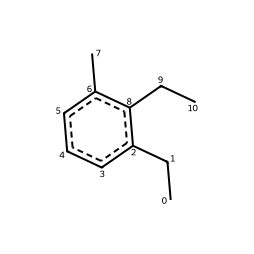 CCc1cccc(C)c1CC